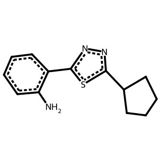 Nc1ccccc1-c1nnc(C2CCCC2)s1